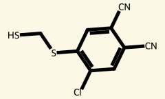 N#Cc1cc(Cl)c(SCS)cc1C#N